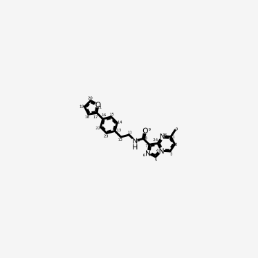 Cc1ccn2cnc(C(=O)NCCc3ccc(-c4ccco4)cc3)c2n1